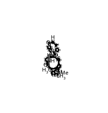 CCn1c(-c2cccnc2[C@H](C)OC)c2c3cc(ccc31)-c1csc(n1)C[C@H](NC(=O)[C@H](C1CCCC1)N1CC[C@]3(CCN(C(=O)[C@@H]4N[C@@H]4C4CC4)C3)C1)C(=O)N1CCC[C@H](N1)C(=O)OCC(C)(C)C2